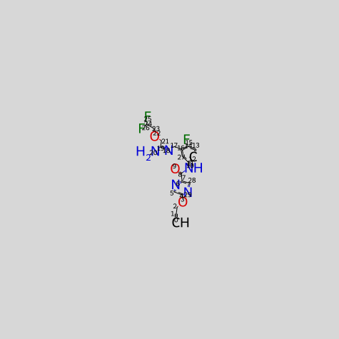 C#CCOc1cnc(C(=O)Nc2ccc(F)c(C/N=C(/N)COCC(F)F)c2)cn1